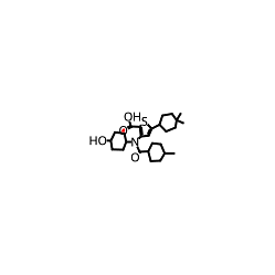 CC1CCC(C(=O)N(c2cc(C3CCC(C)(C)CC3)sc2C(=O)O)C2CCC(O)CC2)CC1